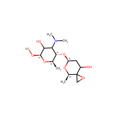 C[C@H]1O[C@@H](OS)C(O)C(N(C)C)[C@@H]1O[C@H]1CC(O)C2(CO2)[C@@H](C)O1